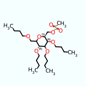 CCCCOCC1O[C@@H](COS(C)(=O)=O)[C@@H](OCCCC)C(OCCCC)[C@@H]1OCCCC